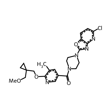 COCC1(COc2ncc(C(=O)N3CCN(c4nc5nc(Cl)ccc5o4)CC3)cc2C)CC1